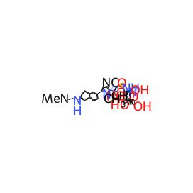 CNCCNc1ccc2cc(-c3ccc(/C(C)=C(\C#N)S(=O)(=O)N[C@@H]4[C@@H](O)[C@H](O)[C@@H](CO)ON4O)n3C)ccc2c1